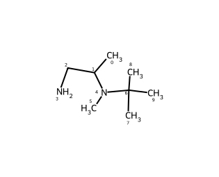 CC(CN)N(C)C(C)(C)C